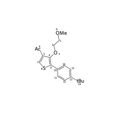 COCCOc1c(C(C)=O)csc1-c1ccc(C(C)(C)C)cc1